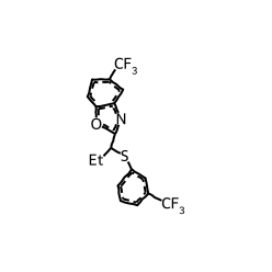 CCC(Sc1cccc(C(F)(F)F)c1)c1nc2cc(C(F)(F)F)ccc2o1